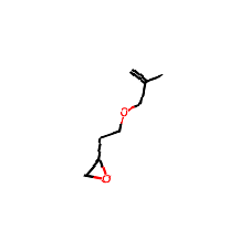 C=C(C)COCCC1CO1